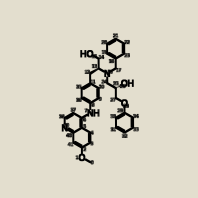 COc1ccc2c(Nc3ccc(C[C@@H](CO)N(Cc4ccccc4)C[C@H](O)COc4ccccc4)cc3)ccnc2c1